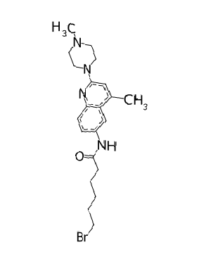 Cc1cc(N2CCN(C)CC2)nc2ccc(NC(=O)CCCCCBr)cc12